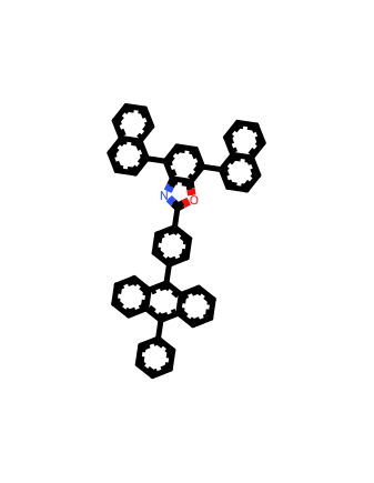 c1ccc(-c2c3ccccc3c(-c3ccc(-c4nc5c(-c6cccc7ccccc67)ccc(-c6cccc7ccccc67)c5o4)cc3)c3ccccc23)cc1